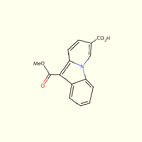 COC(=O)c1c2ccccc2n2cc(C(=O)O)ccc12